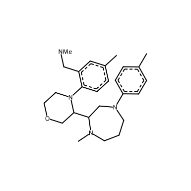 CNCc1cc(C)ccc1N1CCOCC1C1CN(c2ccc(C)cc2)CCCN1C